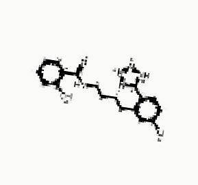 O=C(NCCCCc1cc(Cl)ccc1-c1nnn[nH]1)c1ccccc1O